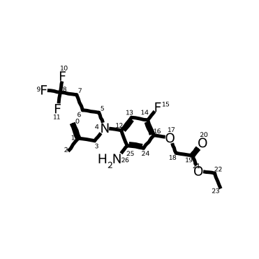 C=C(C)CN(CCCC(F)(F)F)c1cc(F)c(OCC(=O)OCC)cc1N